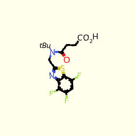 CC(C)(C)N(Cc1nc2c(F)c(F)cc(F)c2s1)C(=O)CCC(=O)O